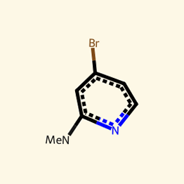 [CH]Nc1cc(Br)ccn1